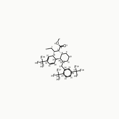 CCCC(C(=O)OC)[C@@H]1CCCN(Cc2cc(C(F)(F)F)ccc2C(F)(F)F)[C@H]1C1C=CC(C(F)(F)F)=CC1